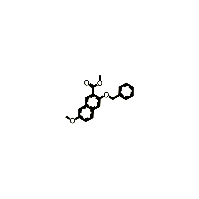 COC(=O)c1cc2cc(OC)ccc2cc1OCc1ccccc1